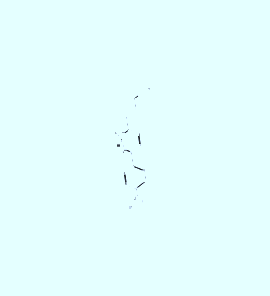 COc1ccc(-c2ccc(CCC=O)nn2)cc1